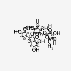 COc1cc(-c2oc3cc(O)cc(O)c3c(=O)c2O[C@@H]2O[C@H](CO[C@@H]3O[C@@H](C)[C@H](O)[C@@H](O)[C@H]3O)[C@@H](O)[C@H](O)[C@H]2O)ccc1O